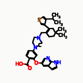 CC(C)c1cscc1C1=C(CN2CCN(c3ccc(C(=O)O)c(Oc4cnc5[nH]ccc5c4)c3)CC2)CCC(C)(C)C1